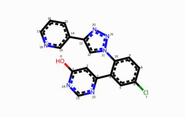 Oc1cc(-c2cc(Cl)ccc2-n2cc(-c3cccnc3)nn2)ncn1